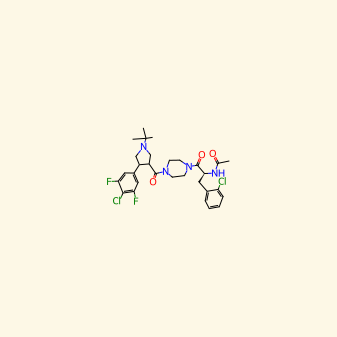 CC(=O)N[C@@H](Cc1ccccc1Cl)C(=O)N1CCN(C(=O)C2CN(C(C)(C)C)CC2c2cc(F)c(Cl)c(F)c2)CC1